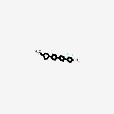 C=CC1CCC(c2ccc(-c3ccc(-c4ccc(C)c(F)c4F)cc3)cc2F)CC1